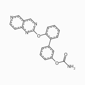 NC(=O)Oc1cccc(-c2ccccc2Oc2ncc3cnccc3n2)c1